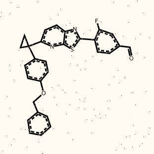 O=Cc1ccc(-c2nc3ccc(C4(c5ccc(OCc6ccccc6)cc5)CC4)nc3s2)c(F)c1